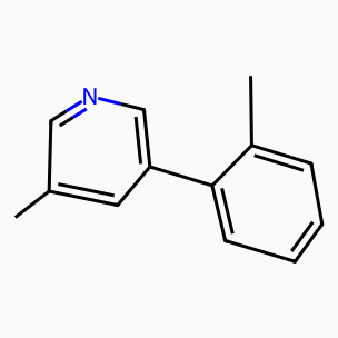 Cc1cncc(-c2ccccc2C)c1